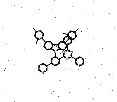 Cc1ccc(-c2ccc3c(c2)c2cc(-c4ccc(C)cc4C)ccc2n3-c2cc(-c3cccnc3)ccc2-c2nc(-c3ccccc3)nc(-c3ccccc3)n2)c(C)c1